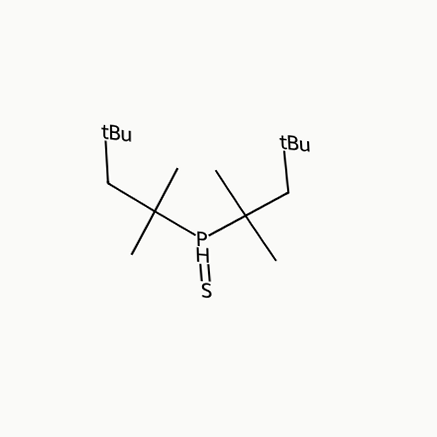 CC(C)(C)CC(C)(C)[PH](=S)C(C)(C)CC(C)(C)C